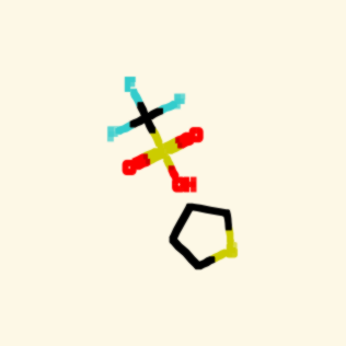 C1CCSC1.O=S(=O)(O)C(F)(F)F